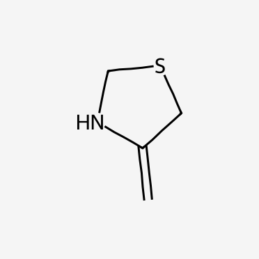 C=C1CSCN1